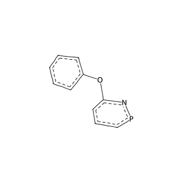 c1ccc(Oc2cccpn2)cc1